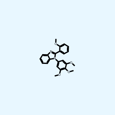 COc1ccccc1-c1nc2ccccc2n1-c1cc(OC)c(OC)c(OC)c1